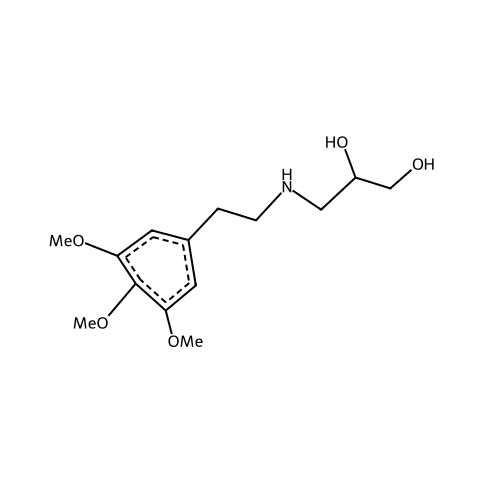 COc1cc(CCNCC(O)CO)cc(OC)c1OC